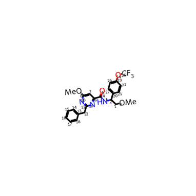 COCC(NC(=O)c1cc(OC)nc(Cc2ccccc2)n1)c1ccc(OC(F)(F)F)cc1